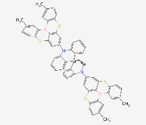 Cc1ccc2c(c1)B1c3cc(C)ccc3Sc3cc(N4c5ccccc5[Si]5(c6ccccc64)c4ccccc4N(c4cc6c7c(c4)Sc4ccc(C)cc4B7c4cc(C)ccc4S6)c4ccccc45)cc(c31)S2